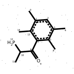 Cc1cc(C)c(C)c(C(=O)C(C)P)c1C